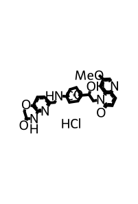 COc1cnc2ccc(=O)n(CC(O)C34CCC(NCc5ccc6c(n5)NC(=O)CO6)(CC3)CO4)c2c1.Cl